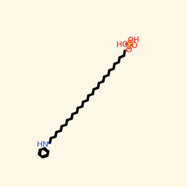 O=P(O)(O)OCCCCCCCCCCCCCCCCCCCCCCCCCCCCCCNc1ccccc1